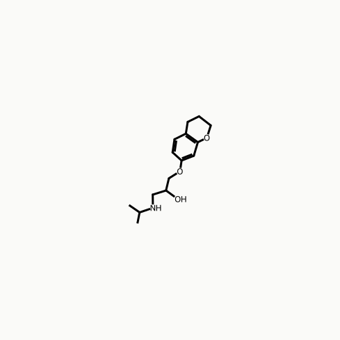 CC(C)NCC(O)COc1ccc2c(c1)OCCC2